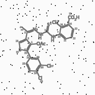 CC(=O)Oc1c(C(C)=NNC(=S)Nc2cccc(C(=O)O)c2Cl)csc1-c1ccc(Cl)c(Cl)c1